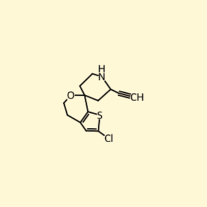 C#CC1CC2(CCN1)OCCc1cc(Cl)sc12